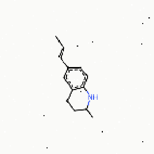 CC=Cc1ccc2c(c1)CCC(C)N2